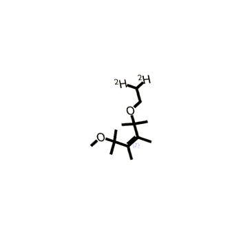 [2H]C([2H])COC(C)(C)/C(C)=C(/C)C(C)(C)OC